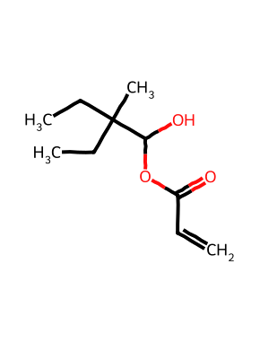 C=CC(=O)OC(O)C(C)(CC)CC